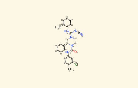 Cc1ccc(NC(=O)N2CCN(/C(=N\C#N)Nc3ccccc3C)CC2c2ccccc2)cc1Cl